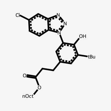 CCCCCCCCOC(=O)CCc1cc(-n2nnc3cc(Cl)ccc32)c(O)c(C(C)(C)C)c1